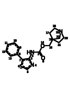 O=C(Nc1ncsc1-c1ccccc1)OCC12CCN(CC1)C2